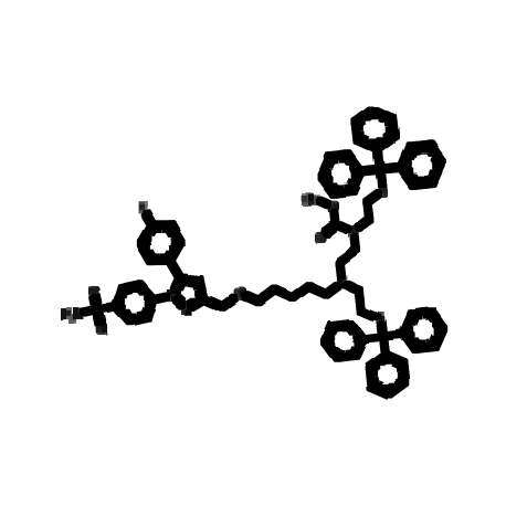 CC(C)(C)OC(=O)N(CCSC(c1ccccc1)(c1ccccc1)c1ccccc1)CCN(CCCCCOCc1cc(-c2ccc(F)cc2)n(-c2ccc(S(N)(=O)=O)cc2)n1)CCSC(c1ccccc1)(c1ccccc1)c1ccccc1